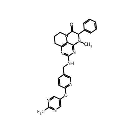 CN1c2nc(NCc3ccc(Oc4cnc(C(F)(F)F)nc4)nc3)nc3c2N(CCC3)C(=O)C1c1ccccc1